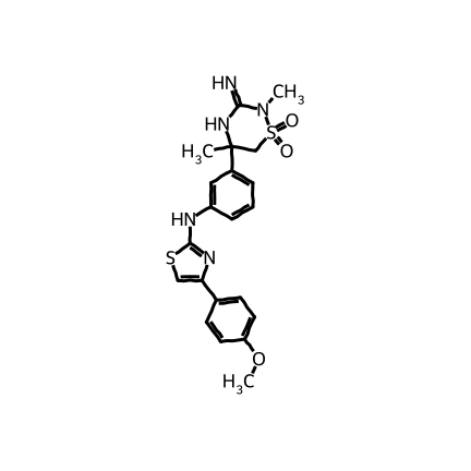 COc1ccc(-c2csc(Nc3cccc(C4(C)CS(=O)(=O)N(C)C(=N)N4)c3)n2)cc1